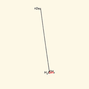 CCCCCCCCCCCCCCCCCCCCCCCCCCCCCCCCCCCCCCCCCCCCCCCCCCCCCCCCCCCCCCCCCCCCCCCCCCCCCCCCCCCCCCCCCCCCCCCCCCCCC(C)(C)O